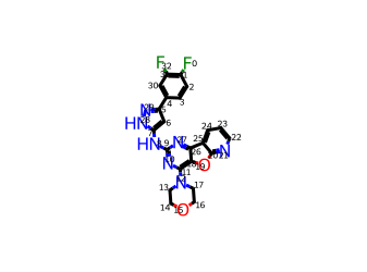 Fc1ccc(-c2cc(Nc3nc(N4CCOCC4)c4oc5ncccc5c4n3)[nH]n2)cc1F